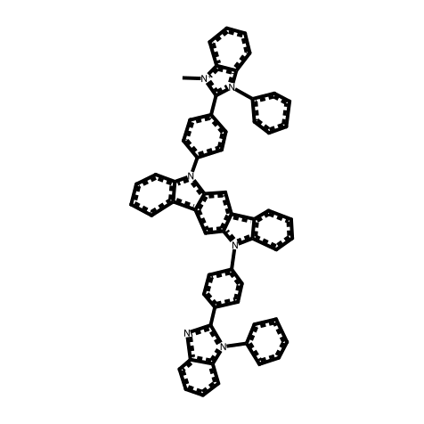 C[n+]1c(-c2ccc(-n3c4ccccc4c4cc5c(cc43)c3ccccc3n5-c3ccc(-c4nc5ccccc5n4-c4ccccc4)cc3)cc2)n(-c2ccccc2)c2ccccc21